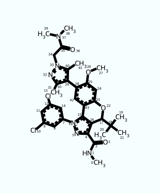 CNC(=O)c1nn(-c2cc(Cl)cc(Cl)c2)c2c1C(C(C)(C)C)Oc1cc(OC)c(-c3c(C)nn(CC(=O)N(C)C)c3C)cc1-2